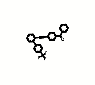 O=C(c1ccccc1)c1ccc(C#Cc2ccccc2-c2ccc(C(F)(F)F)cc2)cc1